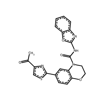 CC(=O)c1csc(-c2ccc3c(c2)N(C(=O)Nc2nc4ccccc4o2)CCO3)n1